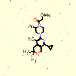 COCC(=O)N1CCN(c2nc(C3CC3)c3c(c2C#N)CC(C)(C)OC3)CC1C(C)C